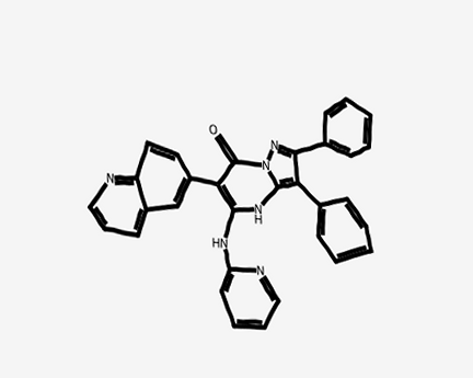 O=c1c(-c2ccc3ncccc3c2)c(Nc2ccccn2)[nH]c2c(-c3ccccc3)c(-c3ccccc3)nn12